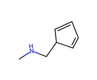 CNCC1C=CC=C1